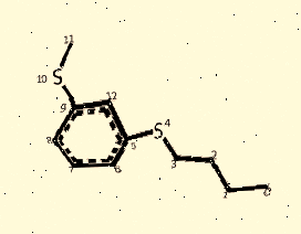 CCCCSc1cc[c]c(SC)c1